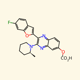 C[C@H]1CCCCN1c1nc2cc(OC(=O)O)ccc2nc1-c1cc2ccc(F)cc2o1